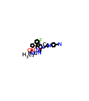 CNC(=O)O[C@@H]1CCC[C@H]1C(Cn1ccnc1C)(c1cccc(F)c1)C1CCN(CC2(C)CN(c3ccc(C#N)cc3)C2)CC1